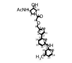 CC(=O)N[C@H]1CN(C(=O)COCc2ncc(-c3cccc(Nc4cc(C)ccn4)n3)s2)C[C@@H]1O